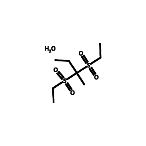 CCC(C)(S(=O)(=O)CC)S(=O)(=O)CC.O